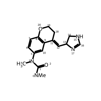 CNC(=O)N(C)c1ccc2c(c1)/C(=C/C1CNC=N1)CCO2